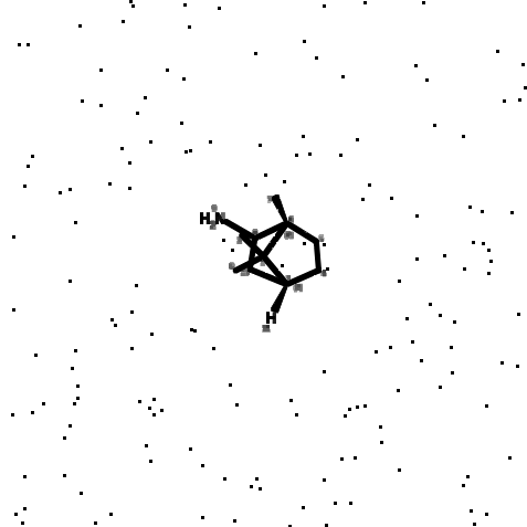 CC1(C)[C@@H]2CC[C@@]1(C)C(N)C2